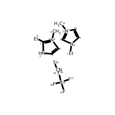 CCc1[nH]cc[n+]1C.CCn1cc[n+](C)c1.F[B-](F)(F)F.N#C[S-]